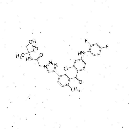 Cc1ccc(-c2cn(CC(=O)NC(C)(C)CO)nn2)cc1C(=O)c1ccc(Nc2ccc(F)cc2F)cc1Cl